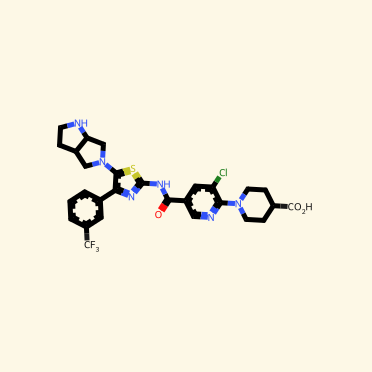 O=C(Nc1nc(-c2cccc(C(F)(F)F)c2)c(N2CC3CCNC3C2)s1)c1cnc(N2CCC(C(=O)O)CC2)c(Cl)c1